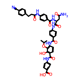 CC(C)Oc1c(NC(=O)c2ccc(NC(=O)C(CC(N)=O)NC(=O)c3ccc(NC(=O)CCc4ccc(C#N)cc4)cc3)cc2)ccc(C(=O)Nc2ccc(C(=O)O)cc2)c1O